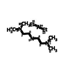 CN(C)CC[N-]CCN(C)C.C[CH2][Al+][CH2]C